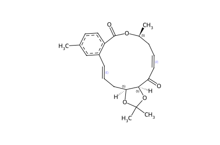 Cc1ccc2c(c1)/C=C/C[C@@H]1OC(C)(C)O[C@@H]1C(=O)/C=C\C[C@H](C)OC2=O